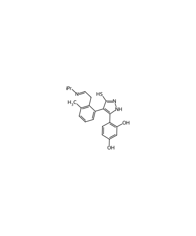 Cc1cccc(-c2c(S)n[nH]c2-c2ccc(O)cc2O)c1C/C=N/C(C)C